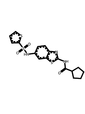 O=C(Nc1nc2ccc(NS(=O)(=O)c3cccs3)cc2s1)C1CCCC1